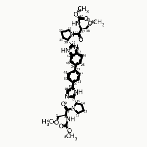 COC[C@H](NC(=O)OC)C(=O)N1CCC[C@H]1c1ncc(-c2ccc(-c3ccc4nc([C@@H]5CCCN5C(=O)[C@H](COC)NC(=O)OC)[nH]c4c3)cc2)[nH]1